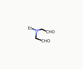 CCN(CC=O)CC=O